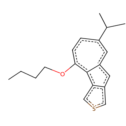 CCCCOc1ccc(C(C)C)cc2cc3cscc3c1-2